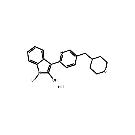 Cl.Oc1c(-c2ccc(CN3CCOCC3)cn2)c2ccccc2n1Br